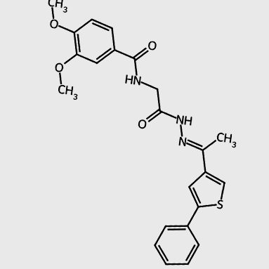 COc1ccc(C(=O)NCC(=O)N/N=C(\C)c2csc(-c3ccccc3)c2)cc1OC